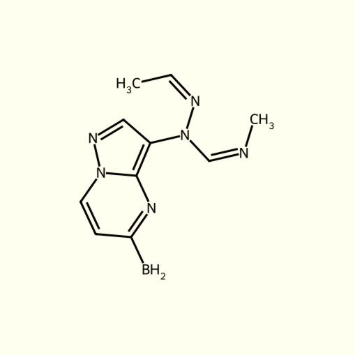 Bc1ccn2ncc(N(/C=N\C)/N=C\C)c2n1